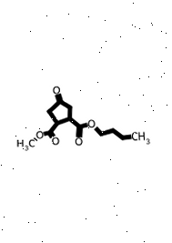 CCCCOC(=O)C1CC(=O)CC1C(=O)OC